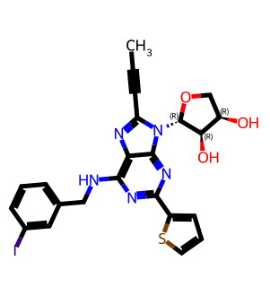 CC#Cc1nc2c(NCc3cccc(I)c3)nc(-c3cccs3)nc2n1[C@@H]1OC[C@@H](O)[C@H]1O